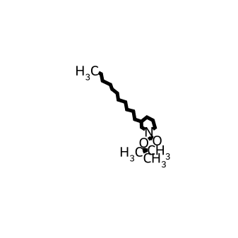 CCCCCCCCCCCC1CCCN(C(=O)OC(C)(C)C)C1